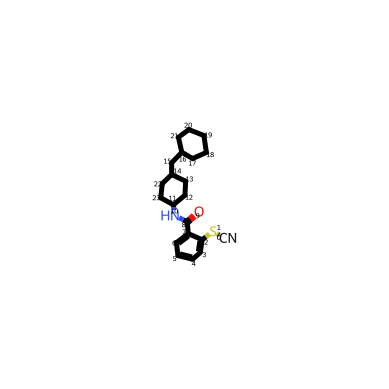 N#CSc1ccccc1C(=O)NC1CCC(CC2CCCCC2)CC1